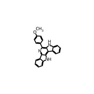 COc1ccc(-c2nc3c4ccccc4[nH]c3c3c2[nH]c2ccccc23)cc1